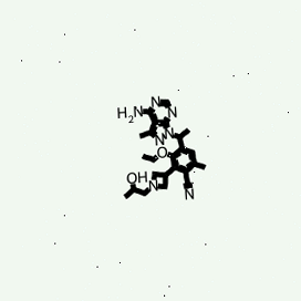 CCOc1c(C(C)n2nc(C)c3c(N)ncnc32)cc(C)c(C#N)c1C1CN(CC(C)O)C1